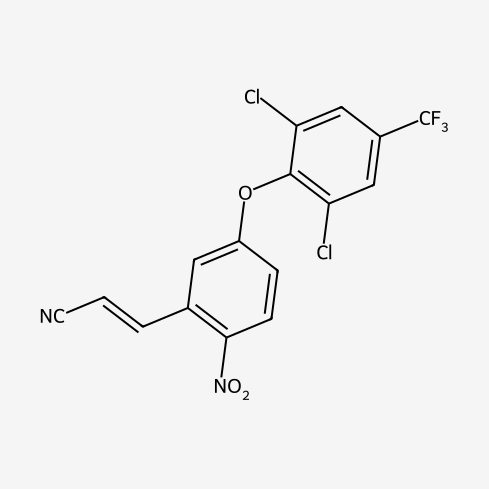 N#CC=Cc1cc(Oc2c(Cl)cc(C(F)(F)F)cc2Cl)ccc1[N+](=O)[O-]